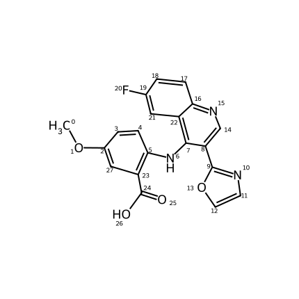 COc1ccc(Nc2c(-c3ncco3)cnc3ccc(F)cc23)c(C(=O)O)c1